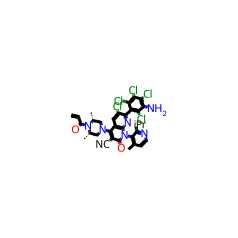 C=CC(=O)N1[C@H](C)CN(c2c(C#N)c(=O)n(-c3c(C)ccnc3C(C)C)c3nc(-c4c(Cl)c(N)c(Cl)c(Cl)c4Cl)c(Cl)cc23)C[C@@H]1C